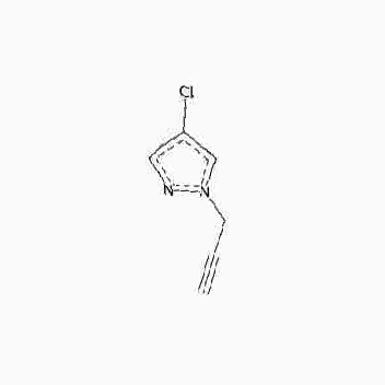 C#CCn1cc(Cl)cn1